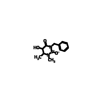 CC1C(O)C(=O)N(Cc2ccccc2)[S+]([O-])N1C